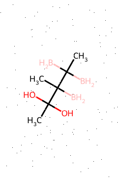 BC(B)(C)C(B)(C)C(C)(O)O